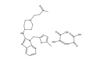 CC(=O)CCN1CCC(Nc2nc3cccnc3n2Cc2ccc(C)o2)CC1.O=C(O)C(=O)O.O=C(O)C(=O)O